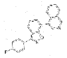 Fc1ccc(-c2noc3c(-c4cncc5ccccc45)cccc23)cc1